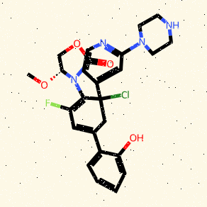 CO[C@@H]1COC(=O)N1C1=C(F)C=C(c2ccccc2O)CC1(Cl)c1ccnc(N2CCNCC2)c1